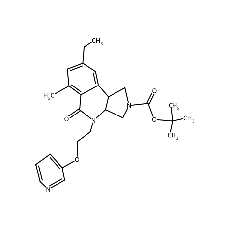 CCc1cc(C)c2c(c1)C1CN(C(=O)OC(C)(C)C)CC1N(CCOc1cccnc1)C2=O